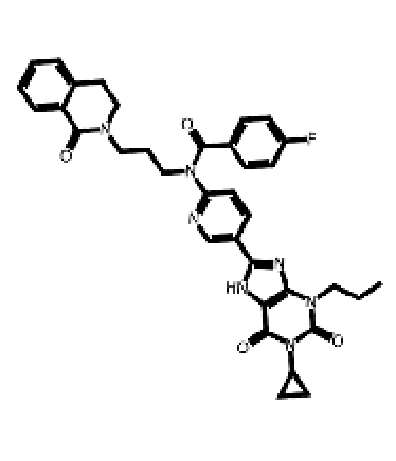 CCCn1c(=O)n(C2CC2)c(=O)c2[nH]c(-c3ccc(N(CCCN4CCc5ccccc5C4=O)C(=O)c4ccc(F)cc4)nc3)nc21